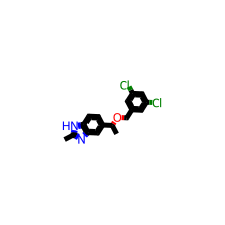 Cc1nc2cc(C(C)OCc3cc(Cl)cc(Cl)c3)ccc2[nH]1